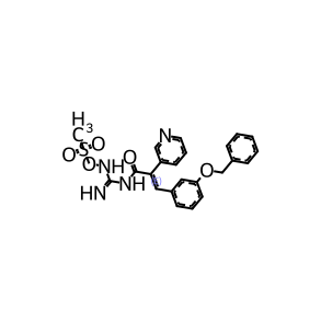 CS(=O)(=O)ONC(=N)NC(=O)/C(=C/c1cccc(OCc2ccccc2)c1)c1cccnc1